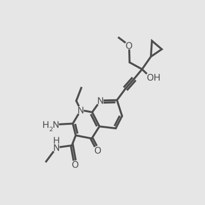 CCn1c(N)c(C(=O)NC)c(=O)c2ccc(C#CC(O)(COC)C3CC3)nc21